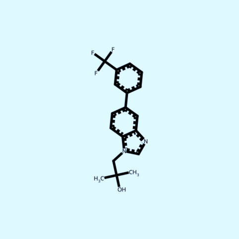 CC(C)(O)Cn1cnc2cc(-c3cccc(C(F)(F)F)c3)ccc21